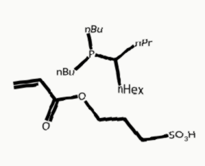 C=CC(=O)OCCCS(=O)(=O)O.CCCCCCC(CCC)P(CCCC)CCCC